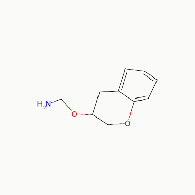 NCOC1COc2ccccc2C1